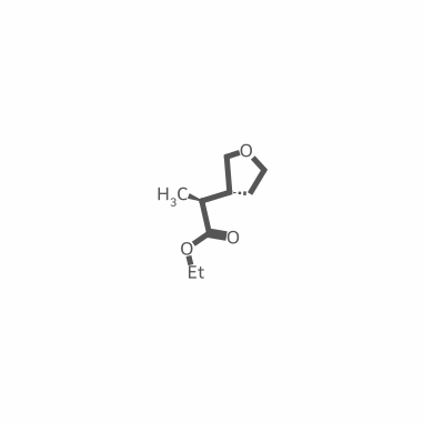 CCOC(=O)[C@@H](C)[C@H]1CCOC1